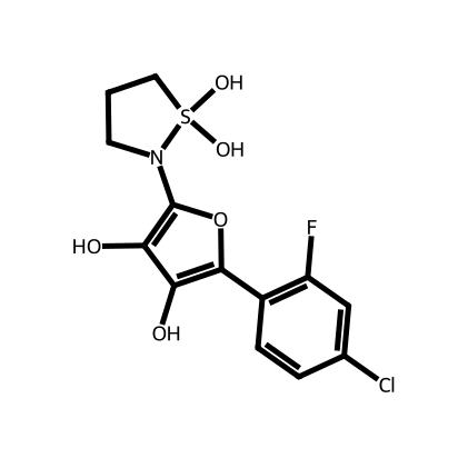 Oc1c(-c2ccc(Cl)cc2F)oc(N2CCCS2(O)O)c1O